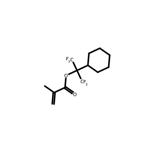 C=C(C)C(=O)OC(C1CCCCC1)(C(F)(F)F)C(F)(F)F